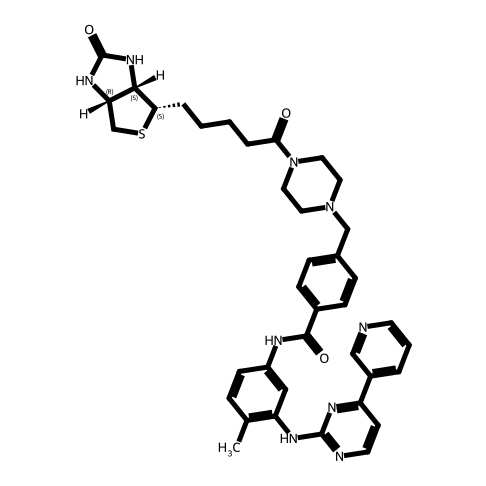 Cc1ccc(NC(=O)c2ccc(CN3CCN(C(=O)CCCC[C@@H]4SC[C@@H]5NC(=O)N[C@@H]54)CC3)cc2)cc1Nc1nccc(-c2cccnc2)n1